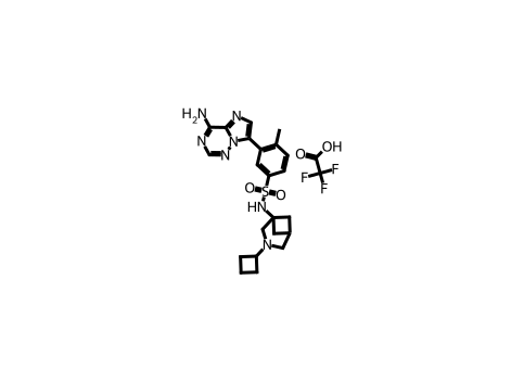 Cc1ccc(S(=O)(=O)NC23CC(CN(C4CCC4)C2)C3)cc1-c1cnc2c(N)ncnn12.O=C(O)C(F)(F)F